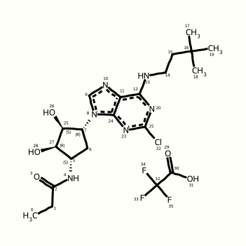 CCC(=O)N[C@H]1C[C@@H](n2cnc3c(NCCC(C)(C)C)nc(Cl)nc32)[C@H](O)[C@@H]1O.O=C(O)C(F)(F)F